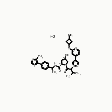 Cc1ncsc1-c1ccc([C@H](C)NC(=O)[C@@H]2C[C@@H](O)CN2C(=O)C(C(C)C)n2cc(-c3ccnc(OC4CC(N)C4)c3)cn2)cc1.Cl